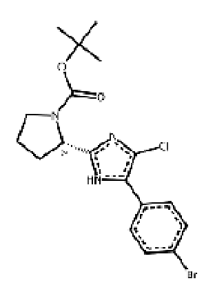 CC(C)(C)OC(=O)N1CCC[C@H]1c1nc(Cl)c(-c2ccc(Br)cc2)[nH]1